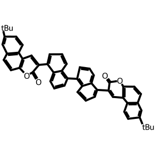 CC(C)(C)c1ccc2c(ccc3oc(=O)c(-c4cccc5c(-c6cccc7c(-c8cc9c(ccc%10cc(C(C)(C)C)ccc%109)oc8=O)cccc67)cccc45)cc32)c1